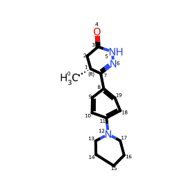 C[C@@H]1CC(=O)NN=C1c1ccc(N2CCCCC2)cc1